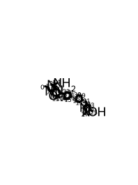 Cc1nc(N)c2c(n1)OC(C)(C)C(c1ccc([C@H]3CC[C@H](Cc4cc(O)n(C)n4)CC3)cc1)=N2